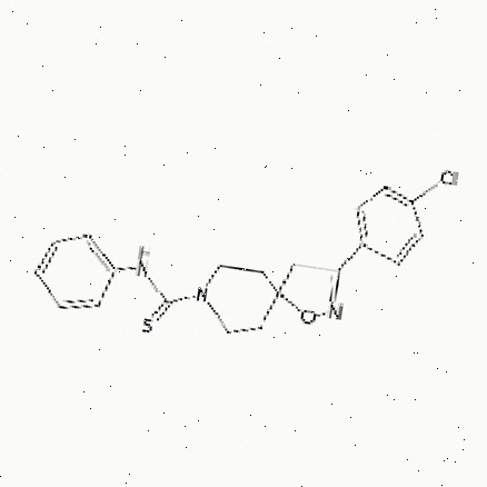 S=C(Nc1ccccc1)N1CCC2(CC1)CC(c1ccc(Cl)cc1)=NO2